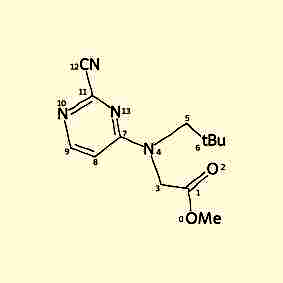 COC(=O)CN(CC(C)(C)C)c1ccnc(C#N)n1